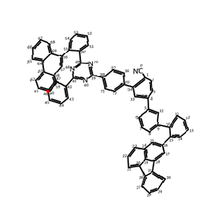 N#Cc1ccc(-c2cccc(-c3ccccc3-c3cc4c5c(cccc5c3)-c3ccccc3-4)c2)cc1-c1ccc(-c2nc(-c3ccccc3)nc(-c3ccccc3-c3cc4ccccc4c4ccccc34)n2)cc1